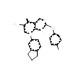 O=Cc1cn(-c2ccc3c(c2)CCC3)c2nc(Nc3ccc(F)cc3)ncc2c1=O